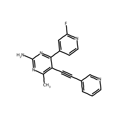 Cc1nc(N)nc(-c2ccnc(F)c2)c1C#Cc1cccnc1